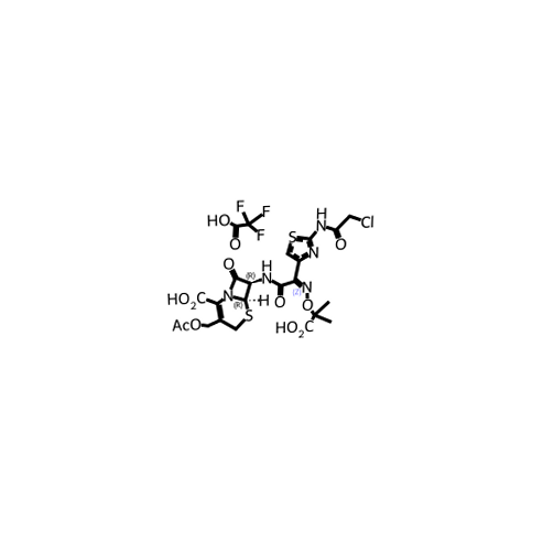 CC(=O)OCC1=C(C(=O)O)N2C(=O)[C@@H](NC(=O)/C(=N\OC(C)(C)C(=O)O)c3csc(NC(=O)CCl)n3)[C@H]2SC1.O=C(O)C(F)(F)F